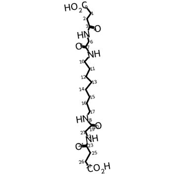 O=C(O)CCC(=O)NCC(=O)NCCCCCCCCNC(=O)CNC(=O)CCC(=O)O